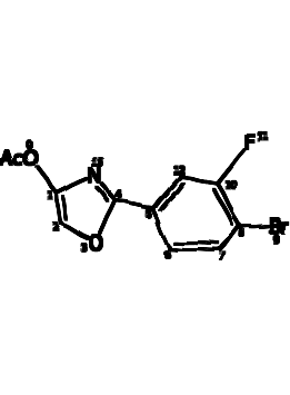 CC(=O)Oc1coc(-c2ccc(Br)c(F)c2)n1